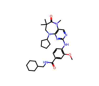 COc1cc(C(=O)NCC2CCCCC2)ccc1Nc1ncc2c(n1)N(C1CCCC1)CC(C)(C)C(=O)N2C